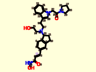 O=C(/C=C/c1ccc2c(c1)CCC2N(CCO)CCc1cn(CC(=O)N2CCCC2)c2ccccc12)NO